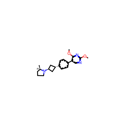 COc1ncc(-c2ccc([C@H]3C[C@H](N4CCC[C@H]4C)C3)cc2)c(OC)n1